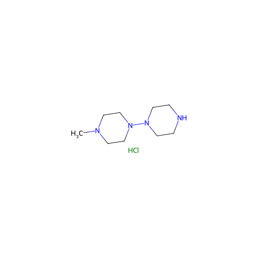 CN1CCN(N2CCNCC2)CC1.Cl